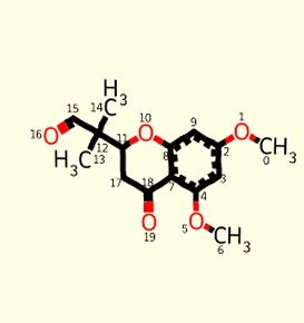 COc1cc(OC)c2c(c1)OC(C(C)(C)C=O)CC2=O